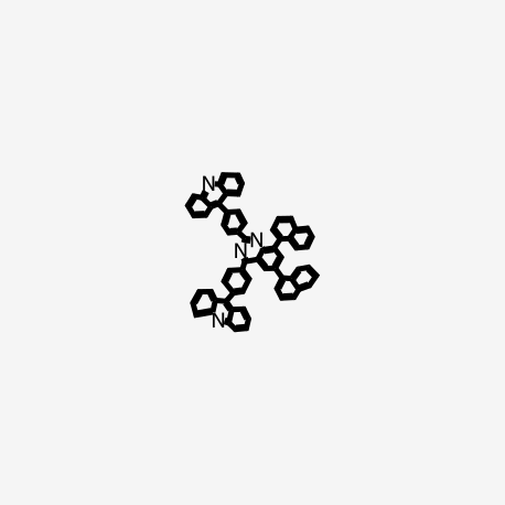 c1ccc2c(-c3cc(-c4cccc5ccccc45)c4nc(-c5ccc(-c6c7ccccc7nc7ccccc67)cc5)nc(-c5ccc(-c6c7ccccc7nc7ccccc67)cc5)c4c3)cccc2c1